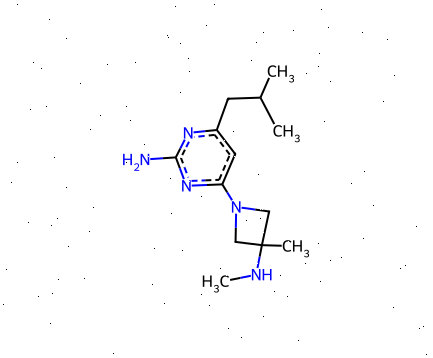 CNC1(C)CN(c2cc(CC(C)C)nc(N)n2)C1